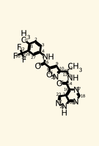 Cc1ccc(NC(=O)c2cc([C@H](C)NC(=O)c3ncnc4[nH]ncc34)no2)cc1C(F)(F)F